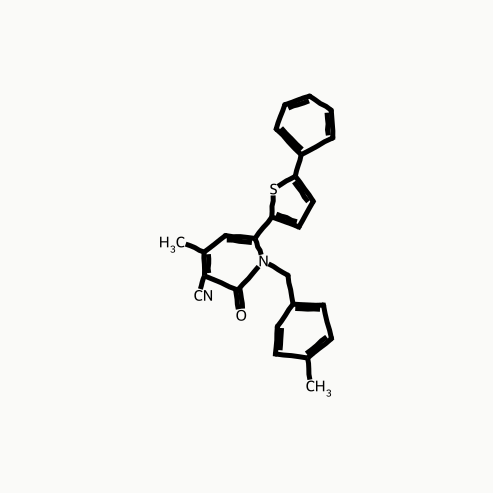 Cc1ccc(Cn2c(-c3ccc(-c4ccccc4)s3)cc(C)c(C#N)c2=O)cc1